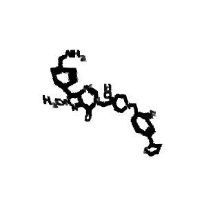 Cn1nc2c(=O)n(CC3(O)CCN(Cc4ccc(-c5cccs5)cc4F)CC3)cnc2c1-c1ccc(CN)cc1